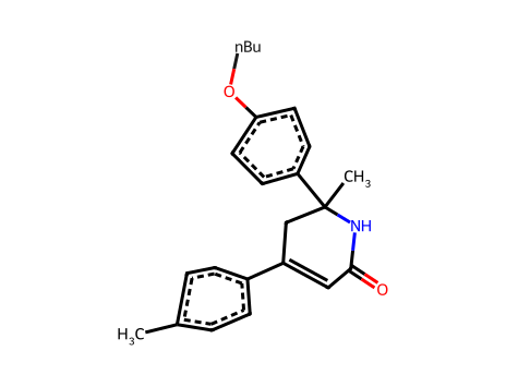 CCCCOc1ccc(C2(C)CC(c3ccc(C)cc3)=CC(=O)N2)cc1